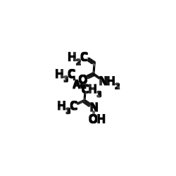 C=CC(N)=O.CC(C)=NO.CC(C)=O